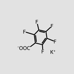 O=C([O-])c1c(F)c(F)c(F)c(F)c1F.[K+]